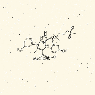 COC(=O)C1=C(C)N(c2cccc(C(F)(F)F)c2)c2n[nH]c(=O)n2[C@@H]1c1ccc(C#N)cc1C[N+](C)(C)CCCS(C)(=O)=O.O=C[O-]